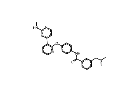 CNc1nccc(-c2cccnc2Oc2ccc(NC(=O)c3cccc(CN(C)C)c3)cc2)n1